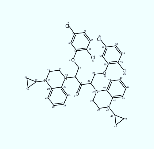 O=C(C(COc1cc(Cl)ccc1Cl)N1CCN(C2CC2)c2ccccc21)C(COc1cc(Cl)ccc1Cl)N1CCN(C2CC2)c2ccccc21